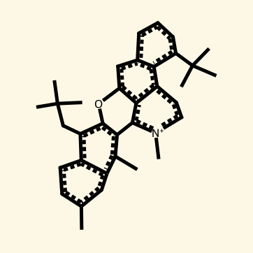 Cc1ccc2c(CC(C)(C)C)c3c(c(C)c2c1)-c1c2c(cc4cccc(C(C)(C)C)c4c2cc[n+]1C)O3